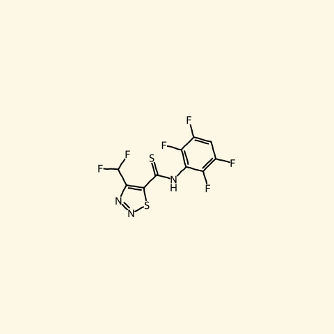 Fc1cc(F)c(F)c(NC(=S)c2snnc2C(F)F)c1F